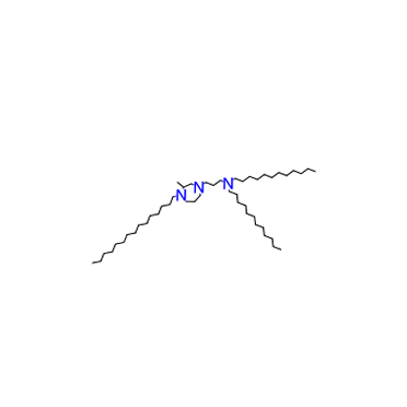 CCCCCCCCCCCCCCCN1CCCN(CCCN(CCCCCCCCCCCC)CCCCCCCCCCCC)CC1C